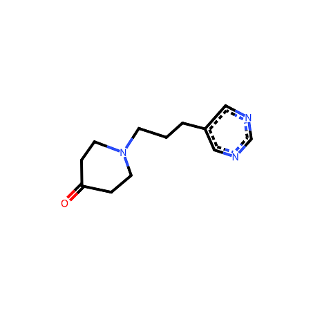 O=C1CCN(CCCc2cncnc2)CC1